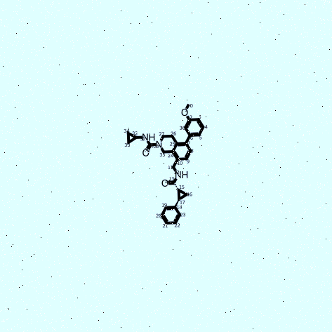 COc1cccc(-c2ccc(CNC(=O)[C@@H]3C[C@H]3c3ccccc3)c3c2CCN(C(=O)NC2CC2)C3)c1